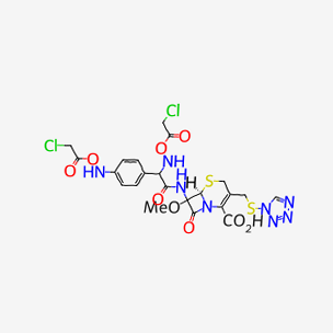 COC1(NC(=O)C(NOC(=O)CCl)c2ccc(NOC(=O)CCl)cc2)C(=O)N2C(C(=O)O)=C(CSn3cnnn3)CS[C@@H]21